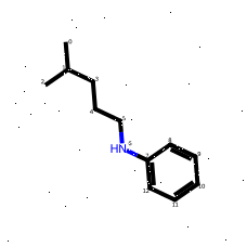 CC(C)CCCNc1[c]cccc1